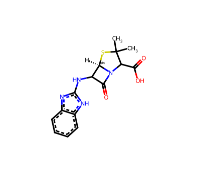 CC1(C)S[C@@H]2C(Nc3nc4ccccc4[nH]3)C(=O)N2C1C(=O)O